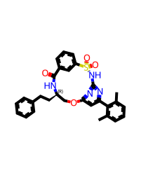 Cc1cccc(C)c1-c1cc2nc(n1)NS(=O)(=O)c1cccc(c1)C(=O)N[C@H](CCc1ccccc1)CO2